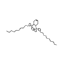 CCCCCCCCCCOC(=O)C1CC=CCC1C(=O)OCCCCCCCCCC